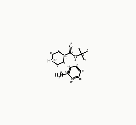 CC(C)(C)OC(=O)N1CCNCC1.Nc1ccccn1